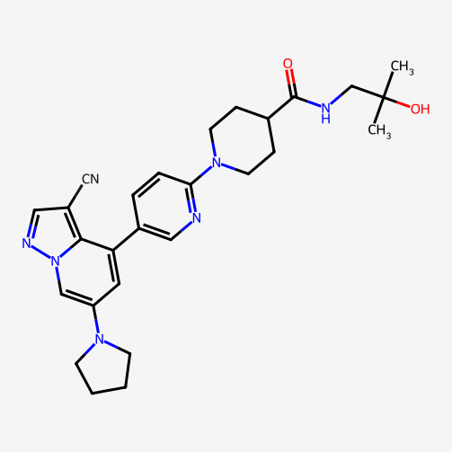 CC(C)(O)CNC(=O)C1CCN(c2ccc(-c3cc(N4CCCC4)cn4ncc(C#N)c34)cn2)CC1